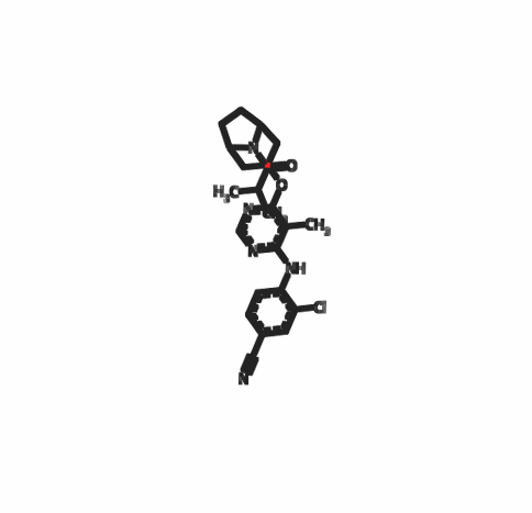 Cc1c(Nc2ccc(C#N)cc2Cl)ncnc1OC1CC2CCC(C1)N2C(=O)C(C)C